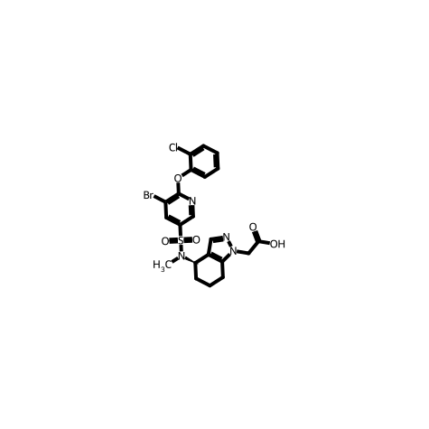 CN([C@@H]1CCCc2c1cnn2CC(=O)O)S(=O)(=O)c1cnc(Oc2ccccc2Cl)c(Br)c1